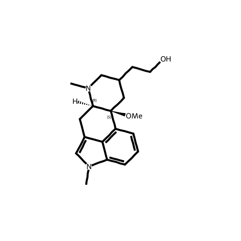 CO[C@]12CC(CCO)CN(C)[C@@H]1Cc1cn(C)c3cccc2c13